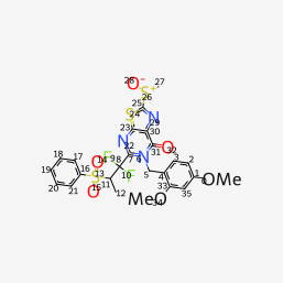 COc1ccc(Cn2c(C(F)(F)C(C)S(=O)(=O)c3ccccc3)nc3sc([S+](C)[O-])nc3c2=O)c(OC)c1